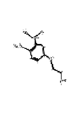 COCCOc1ccc(OC)c(B(O)O)c1